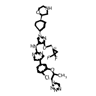 CC(Cn1cnnn1)Oc1cc(-c2cnc(Nc3cn([C@H]4CC[C@H](C5CNCCO5)CC4)nc3OC[C@@H]3CC3(F)F)nc2)ccc1Cl